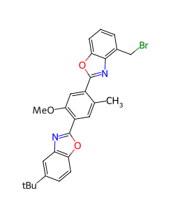 COc1cc(-c2nc3c(CBr)cccc3o2)c(C)cc1-c1nc2cc(C(C)(C)C)ccc2o1